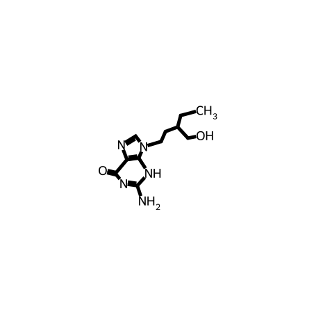 CCC(CO)CCn1cnc2c(=O)nc(N)[nH]c21